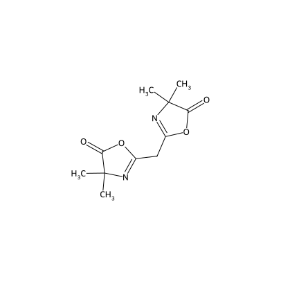 CC1(C)N=C(CC2=NC(C)(C)C(=O)O2)OC1=O